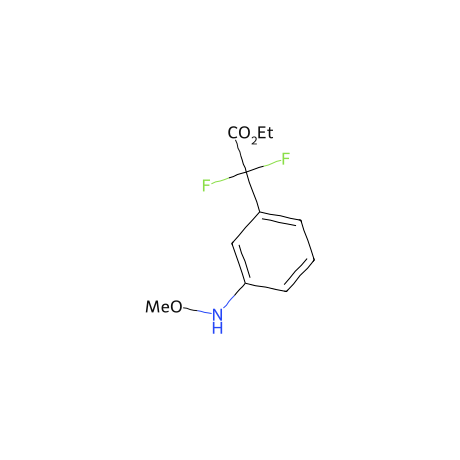 CCOC(=O)C(F)(F)c1cccc(NOC)c1